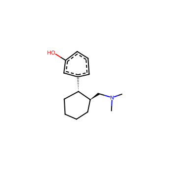 CN(C)C[C@H]1CCCC[C@@H]1c1cccc(O)c1